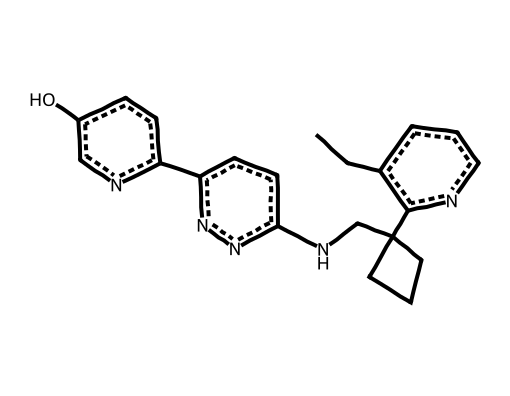 CCc1cccnc1C1(CNc2ccc(-c3ccc(O)cn3)nn2)CCC1